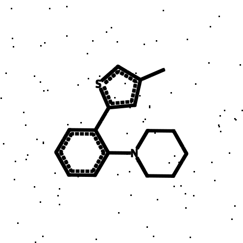 Cc1csc(-c2ccccc2N2CCCCC2)c1